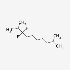 CC(C)CCCCCC(F)(F)C(C)C